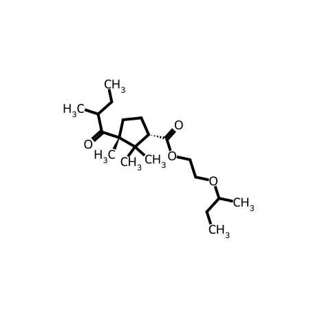 CCC(C)OCCOC(=O)[C@H]1CC[C@@](C)(C(=O)C(C)CC)C1(C)C